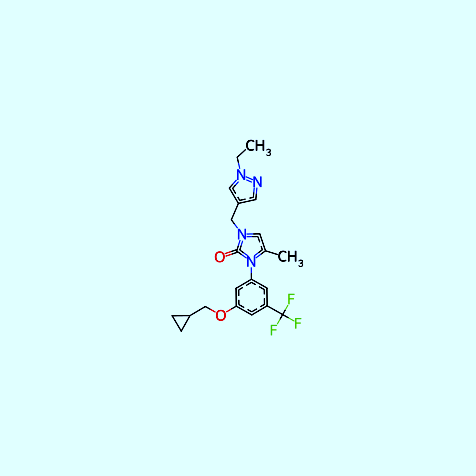 CCn1cc(Cn2cc(C)n(-c3cc(OCC4CC4)cc(C(F)(F)F)c3)c2=O)cn1